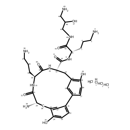 Cl.Cl.Cl.Cl.NCCC[C@H](NC(=O)[C@@H]1Cc2cc(ccc2O)-c2ccc(O)c(c2)C[C@H](N)C(=O)N[C@@H](CCCN)C(=O)N1)C(=O)NCC(O)CN